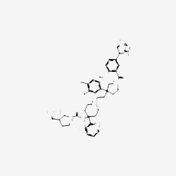 COc1ccc(C2C=NN=N2)cc1C(=O)N1CCC(CCN2CCC(NC(=O)N3CCC(C(=O)O)C3)(c3ccccn3)CC2)(c2ccc(Cl)c(Cl)c2)C1